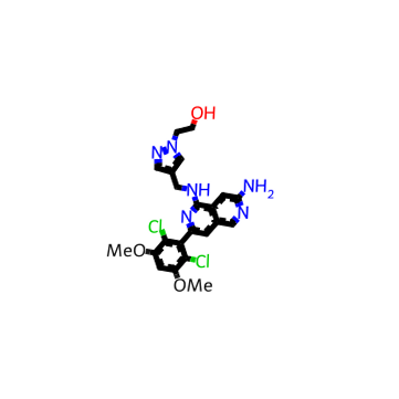 COc1cc(OC)c(Cl)c(-c2cc3cnc(N)cc3c(NCc3cnn(CCO)c3)n2)c1Cl